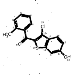 Cc1ccccc1C(=O)c1sc2cc(O)ccc2c1Cl